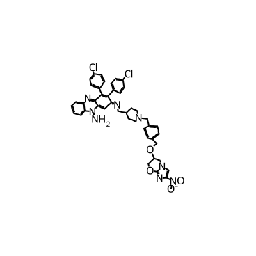 Nn1c2cc(=NCC3CCN(Cc4ccc(COC5COc6nc([N+](=O)[O-])cn6C5)cc4)CC3)c(-c3ccc(Cl)cc3)c(-c3ccc(Cl)cc3)c-2nc2ccccc21